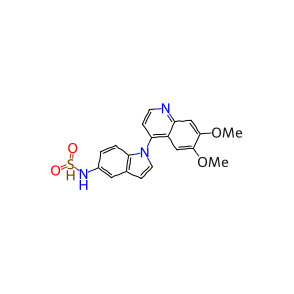 COc1cc2nccc(-n3ccc4cc(N[SH](=O)=O)ccc43)c2cc1OC